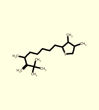 C=C(C(C)CCCCCC1SCC(C)C1C)C(C)(C)C